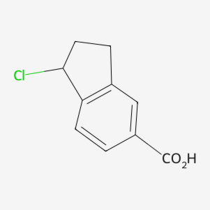 O=C(O)c1ccc2c(c1)CCC2Cl